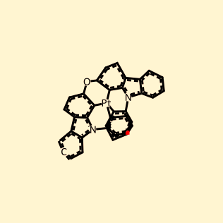 c1cc[c]2c(c1)-n1c3ccccc3c3ccc4[c](c31)[Pt]21[c]2ccccc2-n2c3ccccc3c3ccc([c]1c32)O4